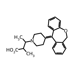 CC(C(=O)O)C(C)N1CCC(=C2c3ccccc3COc3ccccc32)CC1